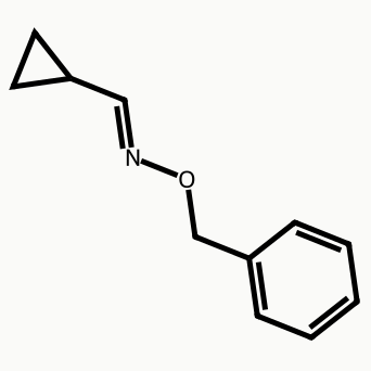 C(=NOCc1ccccc1)C1CC1